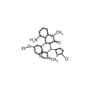 CCOc1cccc(-c2c(C(c3ccc(Cl)s3)c3cncn3C)c(=O)n(C)c3cccc(N)c23)c1